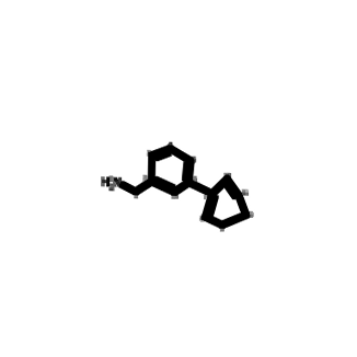 NCc1cccc(C2=CCCC=C2)c1